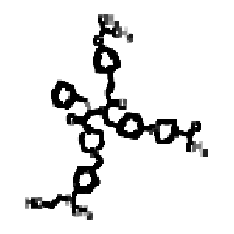 CC(=O)N1CCN(c2ccc(CN(C(=O)C=Cc3ccc(OC(C)C)cc3)[C@@H](Cc3ccccc3)C(=O)N3CCN(Cc4ccc(N(C)CCO)cc4)CC3)cc2)CC1